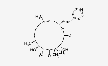 C/C1=C/C[C@@H](C=Cc2ccncc2)OC(=O)C[C@H](O)C(C)(C)C(=O)[C@H](C)[C@@H](O)[C@@H](C)CCC1